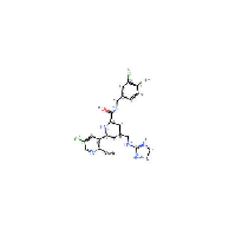 COc1ncc(Cl)cc1C1CC(CNC2=NCCN2)CC(C(=O)NCc2ccc(Cl)c(Cl)c2)N1